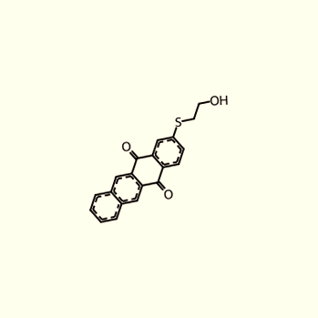 O=C1c2ccc(SCCO)cc2C(=O)c2cc3ccccc3cc21